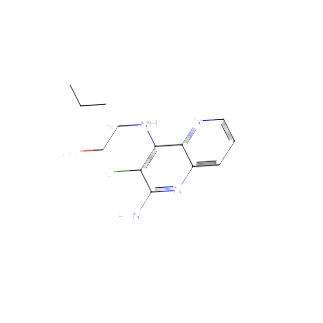 CCC[C@@H](CO)Nc1c(Cl)c(N)nc2cccnc12